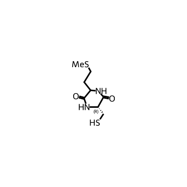 CSCCC1NC(=O)[C@H](CS)NC1=O